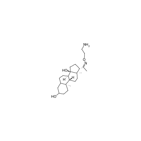 C/C(=N/OCCN)[C@H]1CC[C@@]2(O)[C@@H]3CCC4CC(O)CC[C@]4(C)[C@H]3CC[C@]12C